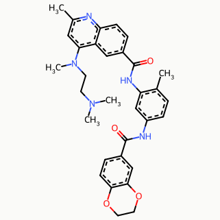 Cc1cc(N(C)CCN(C)C)c2cc(C(=O)Nc3cc(NC(=O)c4ccc5c(c4)OCCO5)ccc3C)ccc2n1